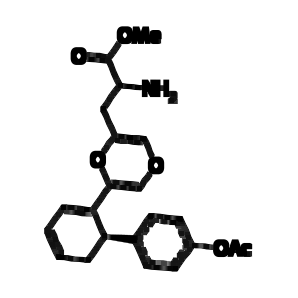 COC(=O)C(N)CC1=COC=C(C2=CC=CC[C@@H]2c2ccc(OC(C)=O)cc2)O1